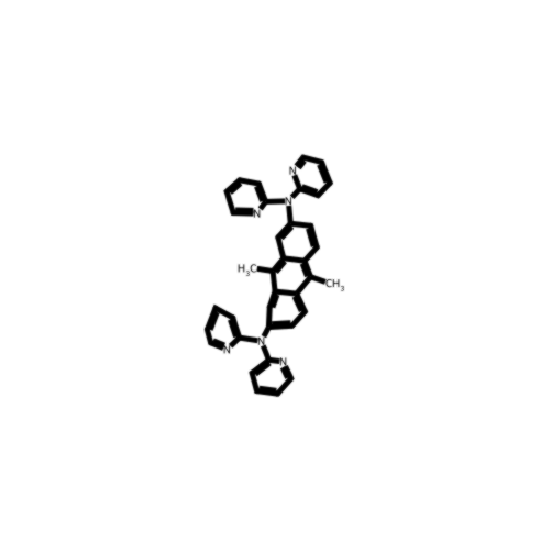 Cc1c2ccc(N(c3ccccn3)c3ccccn3)cc2c(C)c2cc(N(c3ccccn3)c3ccccn3)ccc12